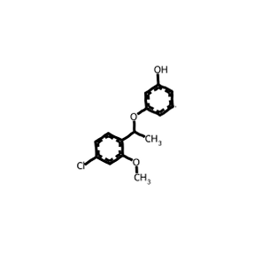 COc1cc(Cl)ccc1C(C)Oc1c[c]cc(O)c1